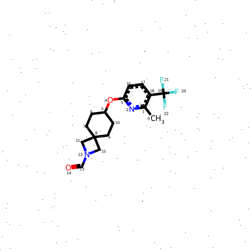 Cc1nc(OC2CCC3(CC2)CN(C=O)C3)ccc1C(F)(F)F